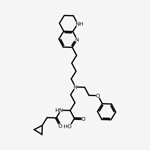 O=C(CC1CC1)NC(CCN(CCCCc1ccc2c(n1)NCCC2)CCOc1ccccc1)C(=O)O